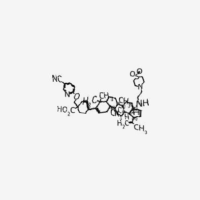 C=C(C)[C@@H]1CC[C@]2(NCCN3CCS(=O)(=O)CC3)CC[C@]3(C)[C@H](CCC4[C@@]5(C)CC=C(C6=CCC(COc7ccc(C#N)cn7)(C(=O)O)CC6)C(C)(C)C5CC[C@]43C)[C@@H]12